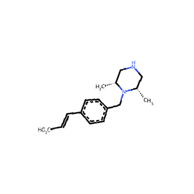 C[C@@H]1CNC[C@H](C)N1Cc1ccc(/C=C/C(=O)O)cc1